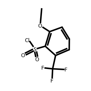 COc1cccc(C(F)(F)F)c1S(=O)(=O)Cl